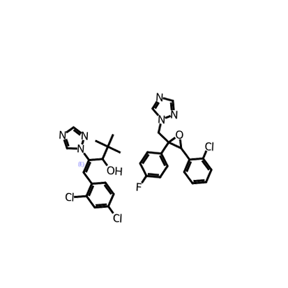 CC(C)(C)C(O)/C(=C\c1ccc(Cl)cc1Cl)n1cncn1.Fc1ccc(C2(Cn3cncn3)OC2c2ccccc2Cl)cc1